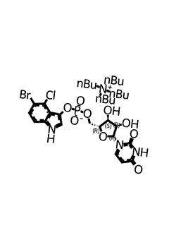 CCCC[N+](CCCC)(CCCC)CCCC.O=c1ccn([C@@H]2O[C@H](COP(=O)([O-])Oc3c[nH]c4ccc(Br)c(Cl)c34)[C@@H](O)[C@H]2O)c(=O)[nH]1